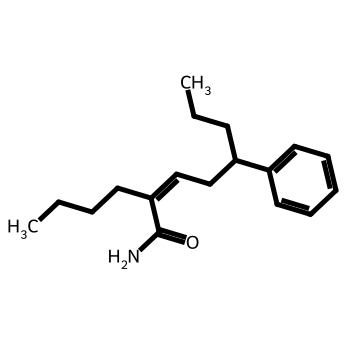 CCCCC(=CCC(CCC)c1ccccc1)C(N)=O